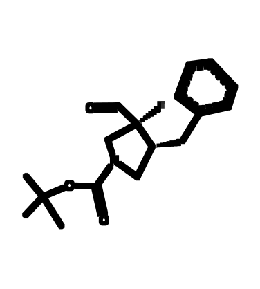 CC(C)(C)OC(=O)N1C[C@@H](Cc2ccccc2)[C@](F)(C=O)C1